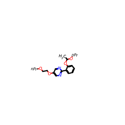 CCCOCCOc1cnc(-c2ccccc2OC(C)OCCC)nc1